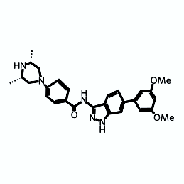 COc1cc(OC)cc(-c2ccc3c(NC(=O)c4ccc(N5C[C@@H](C)N[C@@H](C)C5)cc4)n[nH]c3c2)c1